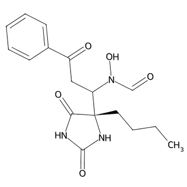 CCCC[C@@]1(C(CC(=O)c2ccccc2)N(O)C=O)NC(=O)NC1=O